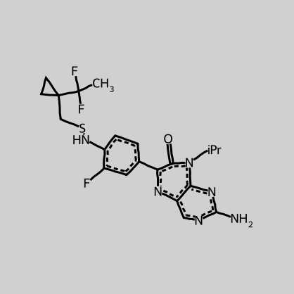 CC(C)n1c(=O)c(-c2ccc(NSCC3(C(C)(F)F)CC3)c(F)c2)nc2cnc(N)nc21